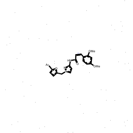 COc1ccc(/C=C\C(=O)Nc2ccn(Cc3ccc(C(C)=O)o3)n2)c(OC)c1